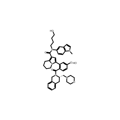 Cl.Cn1ccc2cc(N(CCCCO)C(=O)c3cc(-c4cc(Cl)ccc4C(=O)N4Cc5ccccc5C[C@H]4CN4CCOCC4)n4c3CCCC4)ccc21